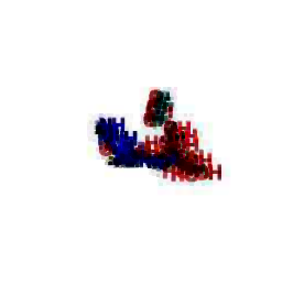 CCn1c(CNC(=O)c2nc3cc[nH]c3nc2N)[n+](CC)c2ccc(C(=O)NCCN3CCC(N(CC(O)C(O)C(O)C(O)CO)CC(O)C(O)C(O)C(O)CO)CC3)cc21.O=C(O)C(F)(F)F.O=C([O-])C(F)(F)F